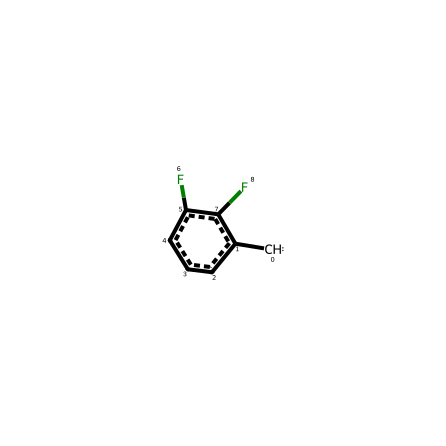 [CH]c1cccc(F)c1F